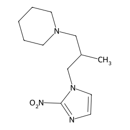 CC(CN1CCCCC1)Cn1ccnc1[N+](=O)[O-]